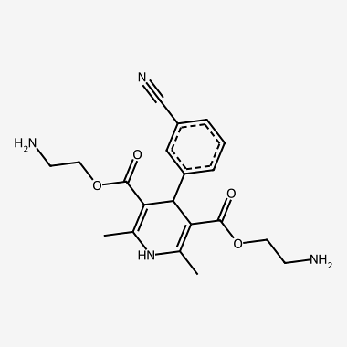 CC1=C(C(=O)OCCN)C(c2cccc(C#N)c2)C(C(=O)OCCN)=C(C)N1